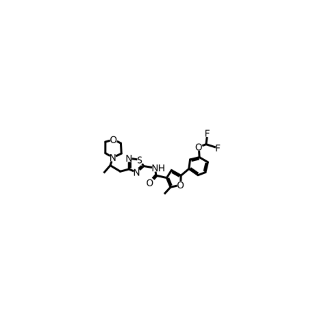 Cc1oc(-c2cccc(OC(F)F)c2)cc1C(=O)Nc1nc(CC(C)N2CCOCC2)ns1